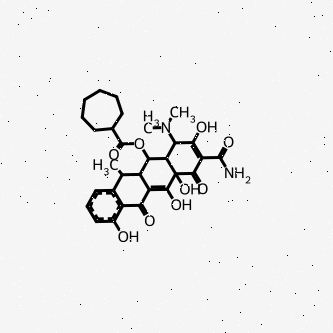 CC1c2cccc(O)c2C(=O)C2=C(O)C3(O)C(=O)C(C(N)=O)=C(O)C(N(C)C)C3C(OC(=O)C3CCCCCC3)C21